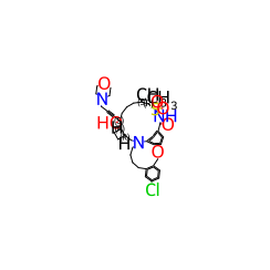 C[C@@H]1[C@@H](C)CCC[C@@](O)(C#CCN2CCOCC2)[C@@H]2CC[C@H]2CN2CCCCc3cc(Cl)ccc3COc3ccc(cc32)C(=O)NS1(=O)=O